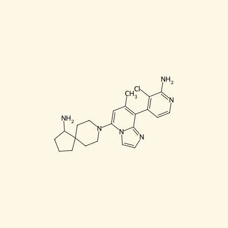 Cc1cc(N2CCC3(CCCC3N)CC2)n2ccnc2c1-c1ccnc(N)c1Cl